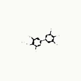 O=COc1c(Br)cc(-c2cc(Br)c(O)c(Br)c2)cc1Br